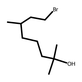 CC(CCBr)CCCC(C)(C)O